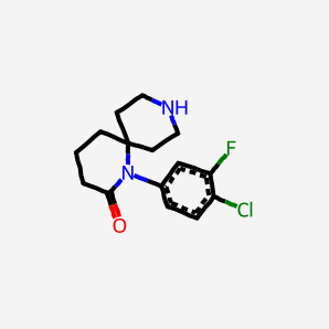 O=C1CCCC2(CCNCC2)N1c1ccc(Cl)c(F)c1